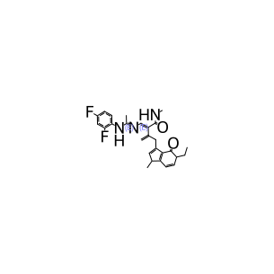 C=C(CC1=CC(C)C2=C1C(=O)C(CC)C=C2)/C(=C\N=C(/C)Nc1ccc(F)cc1F)C(=O)NC